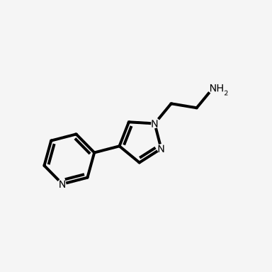 NCCn1cc(-c2cccnc2)cn1